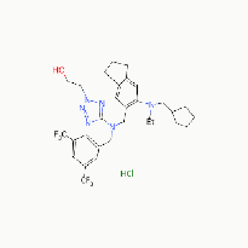 CCN(CC1CCCC1)c1cc2c(cc1CN(Cc1cc(C(F)(F)F)cc(C(F)(F)F)c1)c1nnn(CCO)n1)CCC2.Cl